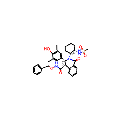 Cc1cc([C@H]2[C@H](C(=O)NOCc3ccccc3)c3ccccc3C(=O)N2[C@H]2CCCC[C@@H]2NS(C)(=O)=O)cc(C)c1O